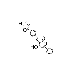 COC(=O)c1ccc(CSc2c(O)cc(-c3ccccc3)oc2=O)cc1